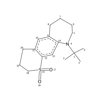 CC(C)(C)N1CCCCc2cc3c(cc21)S(=O)(=O)CCC3